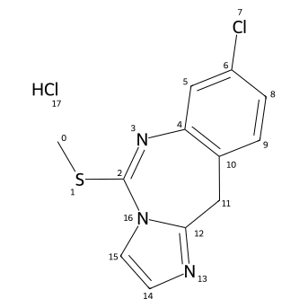 CSC1=Nc2cc(Cl)ccc2Cc2nccn21.Cl